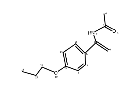 C=C(NC(C)=O)c1ccc(OCCC)cc1